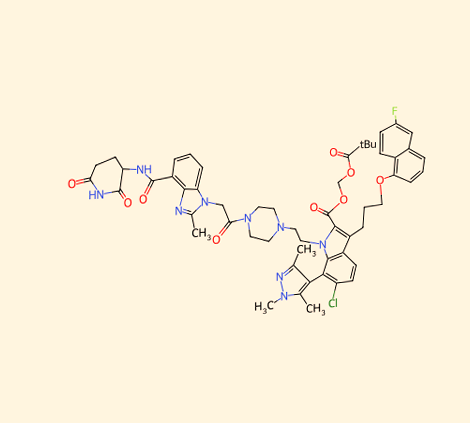 Cc1nn(C)c(C)c1-c1c(Cl)ccc2c(CCCOc3cccc4cc(F)ccc34)c(C(=O)OCOC(=O)C(C)(C)C)n(CCN3CCN(C(=O)Cn4c(C)nc5c(C(=O)NC6CCC(=O)NC6=O)cccc54)CC3)c12